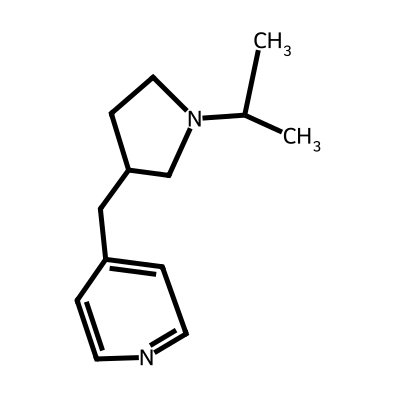 CC(C)N1CCC(Cc2ccncc2)C1